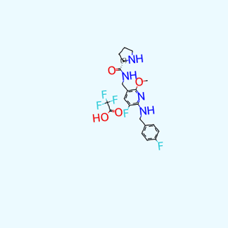 COc1nc(NCc2ccc(F)cc2)c(F)cc1CNC(=O)[C@@H]1CCCN1.O=C(O)C(F)(F)F